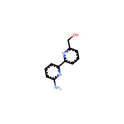 Nc1cccc(-c2cccc(CO)n2)n1